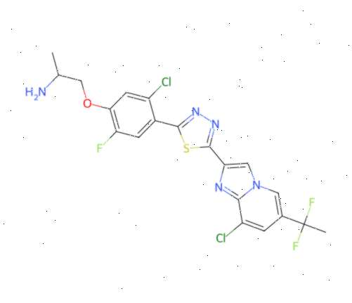 CC(N)COc1cc(Cl)c(-c2nnc(-c3cn4cc(C(C)(F)F)cc(Cl)c4n3)s2)cc1F